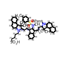 CCCCC[N+]1=C(/C=C/C2=C(N(C)S(=O)(=O)c3ccc(C)cc3)C(=C/C=C3/N(CCCCS(=O)(=O)O)c4ccc5ccccc5c4C3(C)C)/c3ccccc32)C(C)(C)c2c1ccc1ccccc21